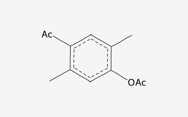 CC(=O)Oc1cc(C)c(C(C)=O)cc1C